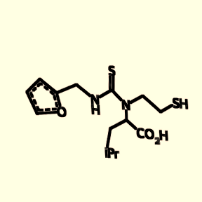 CC(C)CC(C(=O)O)N(CCS)C(=S)NCc1ccco1